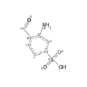 Nc1cc(S(=O)(=O)O)ccc1C=O